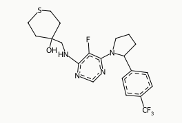 OC1(CNc2ncnc(N3CCCC3c3ccc(C(F)(F)F)cc3)c2F)CCSCC1